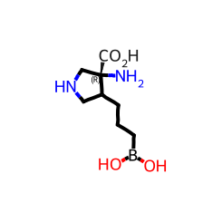 N[C@@]1(C(=O)O)CNCC1CCCB(O)O